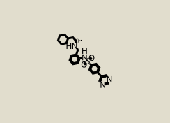 C[C@@H](CC1CCCCC1)NCc1ccccc1NS(=O)(=O)c1ccc(-c2cncnc2)cc1